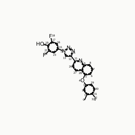 Cc1cc(Oc2cccc3nc(-c4cn(-c5cc(F)c(O)c(F)c5)nn4)ccc23)ccc1F